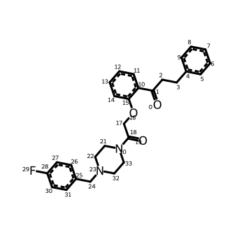 O=C(CCc1ccccc1)c1ccccc1OCC(=O)N1CCN(Cc2ccc(F)cc2)CC1